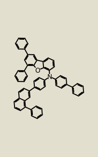 c1ccc(-c2ccc(N(c3ccc(-c4ccc5cccc(-c6ccccc6)c5c4)cc3)c3cccc4c3oc3c(-c5ccccc5)cc(-c5ccccc5)cc34)cc2)cc1